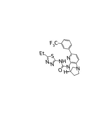 CCc1nnc(NC(=O)N2c3nc(-c4cccc(C(F)(F)F)c4)ccc3N3CC[C@H]2C3)s1